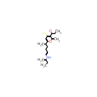 C=C(CC)N/C=C/CCC(C)C1=CC(S)=C(C(=O)CC)C(=C)O1